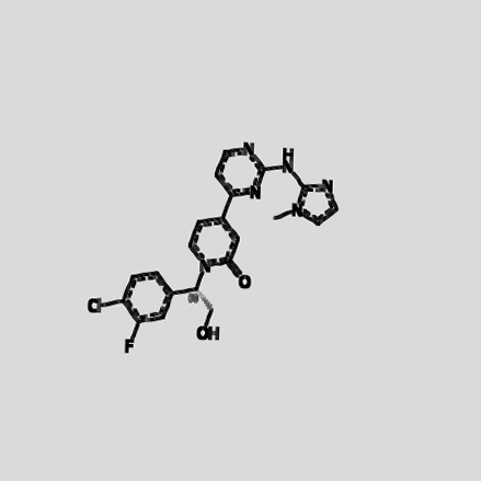 Cn1ccnc1Nc1nccc(-c2ccn([C@H](CO)c3ccc(Cl)c(F)c3)c(=O)c2)n1